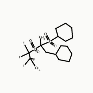 CC(CC1CCCCC1)(S(=O)(=O)C1CCCCC1)S(=O)(=O)C(F)(F)C(F)(F)C(F)(F)F